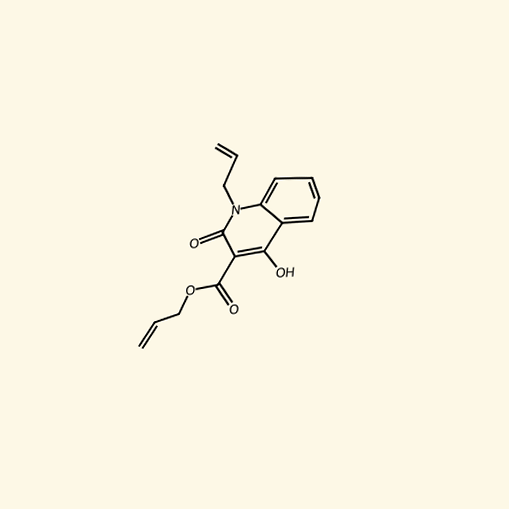 C=CCOC(=O)c1c(O)c2ccccc2n(CC=C)c1=O